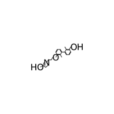 Cc1c(CO)cccc1-c1cccc(OCCCN2CC[C@@H](O)C2)c1C